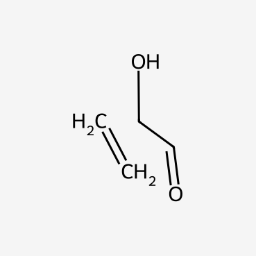 C=C.O=CCO